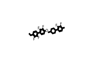 CCc1ccc(-c2ccc(OCC3CCC(c4ccc(C)c(F)c4F)CC3)c(F)c2F)c(F)c1F